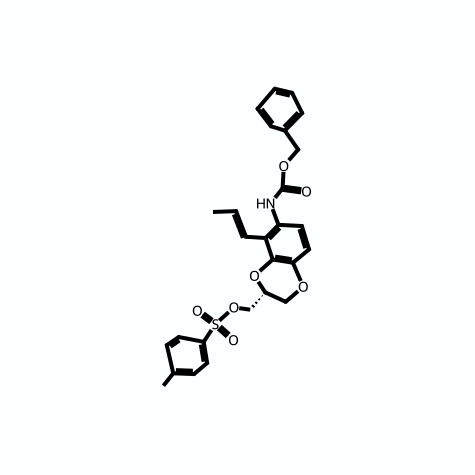 CC=Cc1c(NC(=O)OCc2ccccc2)ccc2c1O[C@@H](COS(=O)(=O)c1ccc(C)cc1)CO2